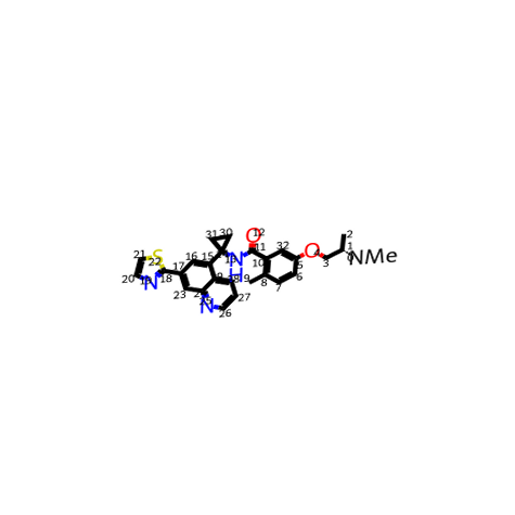 CN[C@@H](C)COc1ccc(C)c(C(=O)NC2(c3cc(-c4nccs4)cc4ncccc34)CC2)c1